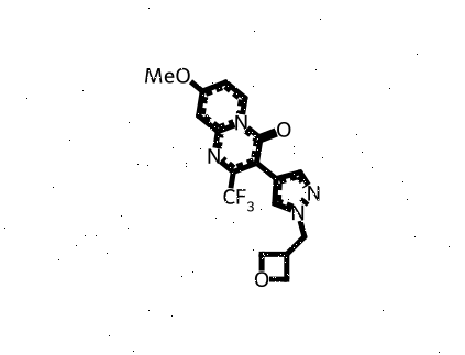 COc1ccn2c(=O)c(-c3cnn(CC4COC4)c3)c(C(F)(F)F)nc2c1